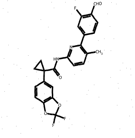 Cc1ccc(NC(=O)C2(c3ccc4c(c3)OC(F)(F)O4)CC2)nc1-c1ccc(C=O)c(F)c1